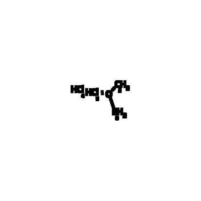 BOC.Cl.Cl